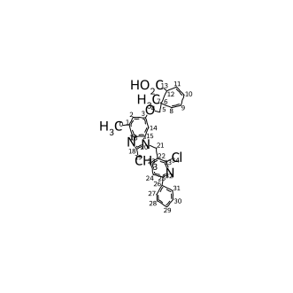 Cc1cc(OCC2(C)C=CC=CC2C(=O)O)cc2c1nc(C)n2Cc1ccc(-c2ccccc2)nc1Cl